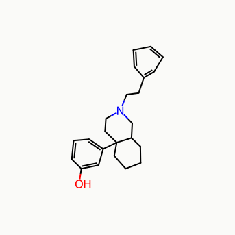 Oc1cccc(C23CCCCC2CN(CCc2ccccc2)CC3)c1